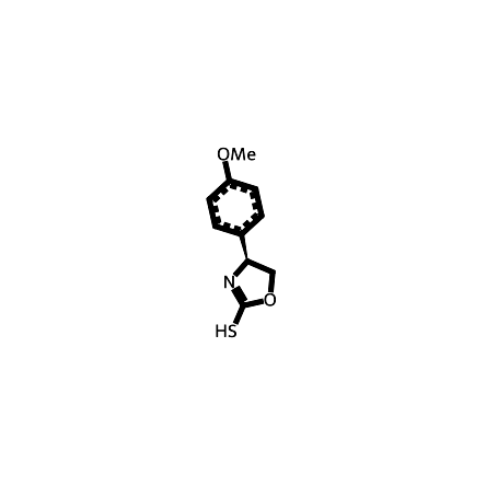 COc1ccc([C@H]2COC(S)=N2)cc1